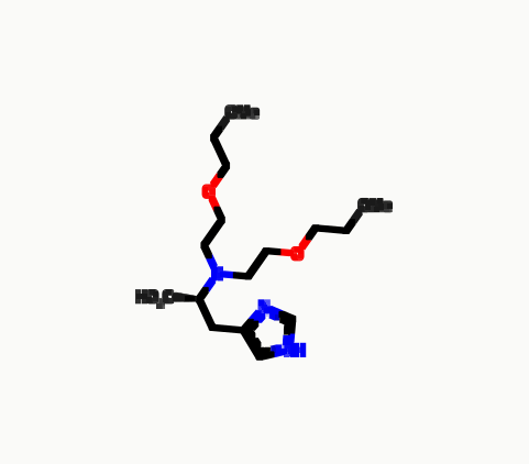 COCCOCCN(CCOCCOC)[C@@H](Cc1c[nH]cn1)C(=O)O